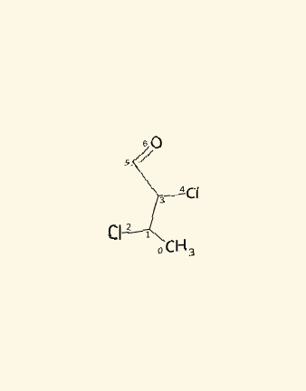 CC(Cl)C(Cl)[C]=O